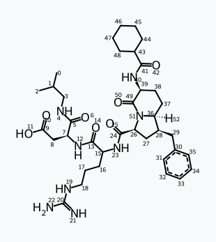 CC(C)CNC(=O)[C@H](CC(=O)O)NC(=O)C(CCCNC(=N)N)NC(=O)[C@@H]1C[C@H](Cc2ccccc2)[C@@H]2CC[C@H](NC(=O)C3CCCCC3)C(=O)N12